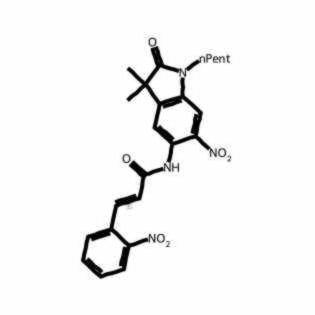 CCCCCN1C(=O)C(C)(C)c2cc(NC(=O)/C=C/c3ccccc3[N+](=O)[O-])c([N+](=O)[O-])cc21